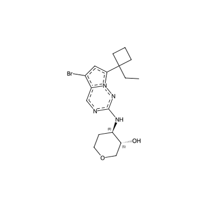 CCC1(c2cc(Br)c3cnc(N[C@@H]4CCOC[C@H]4O)nn23)CCC1